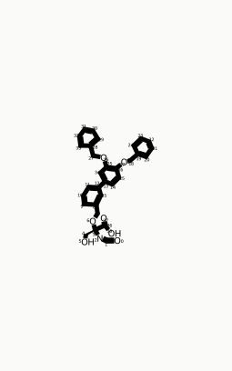 O=C=N[C@](CO)(OCc1cccc(-c2ccc(OCc3ccccc3)c(OCc3ccccc3)c2)c1)C(=O)O